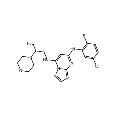 CC(CNc1cc(Nc2cc(Cl)ccc2F)nc2ccnn12)N1CCOCC1